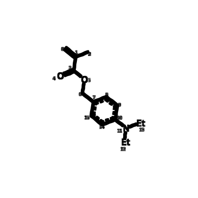 C=C(C)C(=O)OCc1ccc(N(CC)CC)cc1